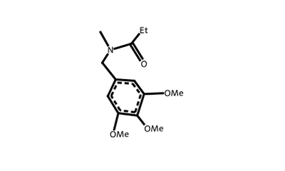 CCC(=O)N(C)Cc1cc(OC)c(OC)c(OC)c1